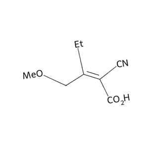 CC/C(COC)=C(\C#N)C(=O)O